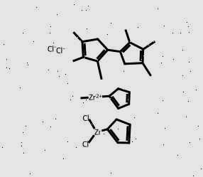 CC1=C(C)C(C)=C(C2=C(C)C(C)=C(C)C2)C1.[CH3][Zr+2][C]1=CC=CC1.[Cl-].[Cl-].[Cl][Zr]([Cl])[C]1=CC=CC1